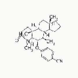 C[C@H]1[C@@H](Oc2ccc(C#N)cc2)[C@H]2N(C)C(=O)CC[C@]2(C)[C@H]2CC[C@]3(C)CCC[C@H]3[C@H]12